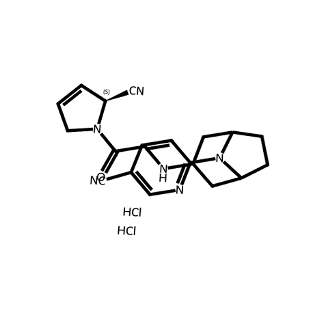 Cl.Cl.N#Cc1ccc(N2C3CCC2CC(NCC(=O)N2CC=C[C@H]2C#N)C3)nc1